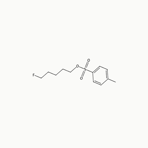 Cc1ccc(S(=O)(=O)OCCCCCF)cc1